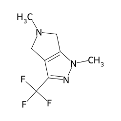 CN1Cc2c(C(F)(F)F)nn(C)c2C1